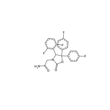 NC(=O)CN1C(=O)OC(c2ccc(F)cc2)(c2ccc(F)cc2)C1c1c(F)cccc1F